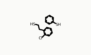 SCCc1ccccc1Cl.Sc1ccccc1